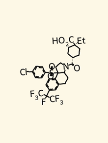 CC[C@]1(C(=O)O)CC[C@H](C(=O)N2CCC3(S(=O)(=O)c4ccc(Cl)cc4)c4ccc(C(F)(C(F)(F)F)C(F)(F)F)cc4CCC23)CC1